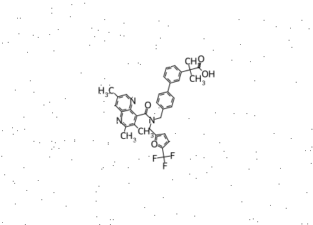 Cc1cnc2c(C(=O)N(Cc3ccc(-c4cccc(C(C)(C)C(=O)O)c4)cc3)Cc3ccc(C(F)(F)F)o3)c(C)c(C)nc2c1